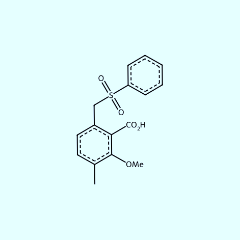 COc1c(C)ccc(CS(=O)(=O)c2ccccc2)c1C(=O)O